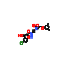 Cc1cc(C)cc(OCC2CN(C34CC(NC(=O)[C@H]5C[C@@H](O)c6cc(Cl)ccc6O5)(C3)C4)C(=O)O2)c1